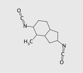 CC1C(N=C=O)CCC2CC(N=C=O)CC21